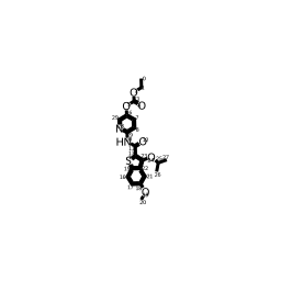 CCOC(=O)Oc1ccc(NC(=O)c2sc3ccc(OC)cc3c2OC(C)C)nc1